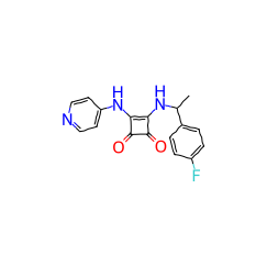 CC(Nc1c(Nc2ccncc2)c(=O)c1=O)c1ccc(F)cc1